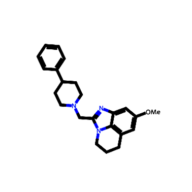 COc1cc2c3c(c1)nc(CN1CCC(c4ccccc4)CC1)n3CCC2